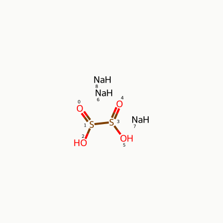 O=S(O)S(=O)O.[NaH].[NaH].[NaH]